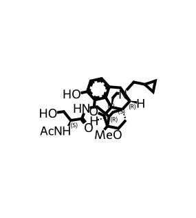 COC12CC[C@@]3(C[C@@H]1CNC(=O)[C@H](CO)NC(C)=O)[C@H]1Cc4ccc(O)c5c4[C@@]3(CCN1CC1CC1)C2O5